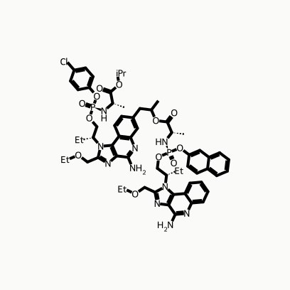 CCOCc1nc2c(N)nc3cc(CC(C)OC(=O)[C@H](C)N[P@](=O)(OC[C@H](CC)n4c(COCC)nc5c(N)nc6ccccc6c54)Oc4ccc5ccccc5c4)ccc3c2n1[C@H](CC)CO[P@@](=O)(N[C@@H](C)C(=O)OC(C)C)Oc1ccc(Cl)cc1